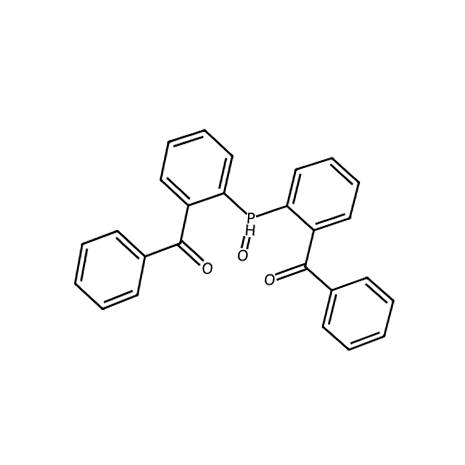 O=C(c1ccccc1)c1ccccc1[PH](=O)c1ccccc1C(=O)c1ccccc1